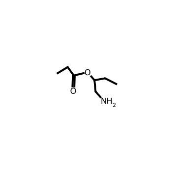 CCC(=O)OC(CC)CN